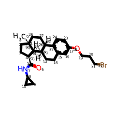 C[C@@]12CC[C@H](C(=O)NC3CC3)[C@H]1[C@@H]1CCc3cc(OCCCBr)ccc3[C@H]1CC2